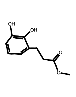 COC(=O)CCc1cccc(O)c1O